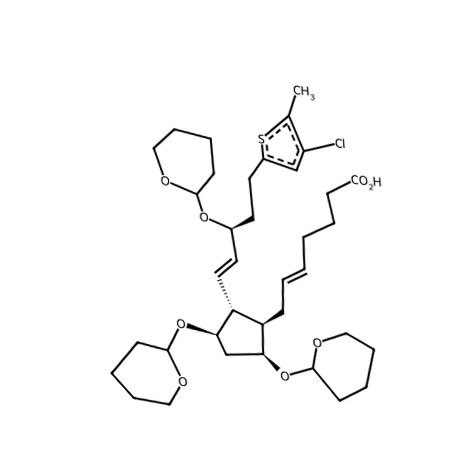 Cc1sc(CC[C@@H](C=C[C@@H]2[C@@H](CC=CCCCC(=O)O)[C@@H](OC3CCCCO3)C[C@H]2OC2CCCCO2)OC2CCCCO2)cc1Cl